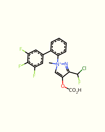 C[N+]1(c2ccccc2-c2cc(F)c(F)c(F)c2)C=C(OC(=O)O)C(C(F)Cl)=N1